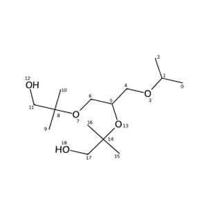 CC(C)OCC(COC(C)(C)CO)OC(C)(C)CO